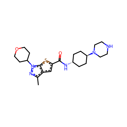 Cc1nn(C2CCOCC2)c2sc(C(=O)N[C@H]3CC[C@H](N4CCNCC4)CC3)cc12